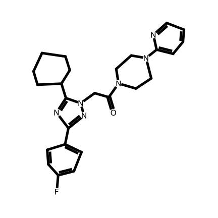 O=C(Cn1nc(-c2ccc(F)cc2)nc1C1CCCCC1)N1CCN(c2ccccn2)CC1